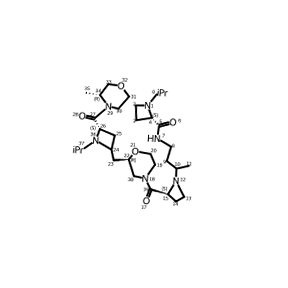 CC(C)N1CC[C@H]1C(=O)NCCC(C)N1CC[C@H]1C(=O)N1CCO[C@H](CC2C[C@@H](C(=O)N3CCOC[C@H]3C)N2C(C)C)C1